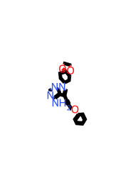 Nc1ncnc2c1c(C#CCOc1ccccc1)cn2C1CCC2(CC1)OCCO2